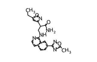 CCc1cc(C(CNc2nccc3ccc(-c4noc(C)n4)cc23)C(N)=O)no1